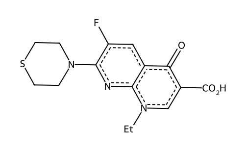 CCn1cc(C(=O)O)c(=O)c2cc(F)c(N3CCSCC3)nc21